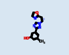 Cc1cc(O)cc(-c2ncn(/C=C\c3ncco3)n2)c1